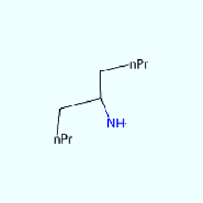 CCCCC([NH])CCCC